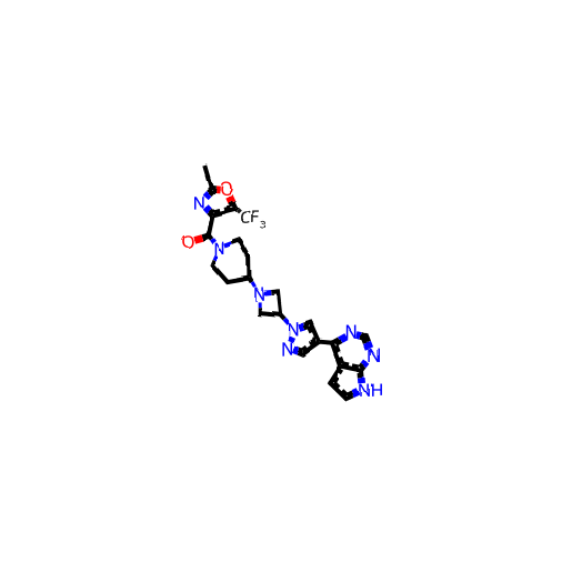 Cc1nc(C(=O)N2CCC(N3CC(n4cc(-c5ncnc6[nH]ccc56)cn4)C3)CC2)c(C(F)(F)F)o1